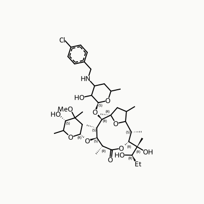 CC[C@@H](O)[C@@](C)(O)[C@@H]1OC(=O)[C@H](C)[C@@H](O[C@H]2CC(C)(OC)[C@@H](O)C(C)O2)[C@H](C)[C@@H](O[C@@H]2OC(C)CC(NCc3ccc(Cl)cc3)C2O)[C@@]2(C)CC(C)C(O2)[C@@H]1C